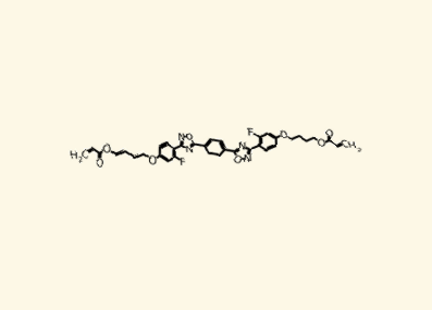 C=CC(=O)OCCCCOc1ccc(-c2noc(-c3ccc(-c4nc(-c5ccc(OCCCCOC(=O)C=C)cc5F)no4)cc3)n2)c(F)c1